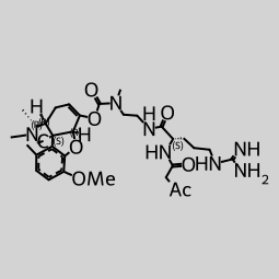 COc1ccc(C)c2c1O[C@H]1C(OC(=O)N(C)CCNC(=O)[C@H](CCCNC(=N)N)NC(=O)CC(C)=O)=CC[C@H]3[C@@H](C)N(C)CC[C@]213